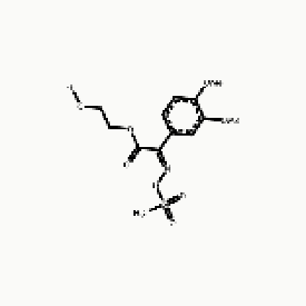 [CH2]COCCOC(=O)C(=NOS(C)(=O)=O)c1ccc(OC)c(OC)c1